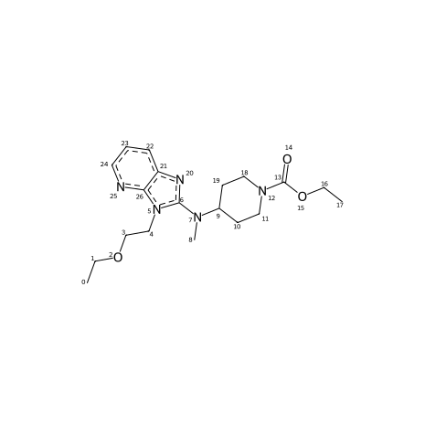 CCOCCn1c(N(C)C2CCN(C(=O)OCC)CC2)nc2cccnc21